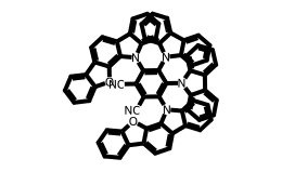 N#Cc1c(C#N)c(-n2c3ccccc3c3ccc4c5ccccc5oc4c32)c(-n2c3ccccc3c3ccccc32)c(-n2c3ccccc3c3ccccc32)c1-n1c2ccccc2c2ccc3c4ccccc4oc3c21